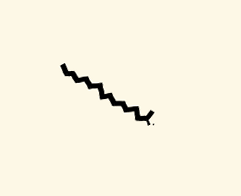 [CH2][C@H](C)CCCCCCCCCCCCCC